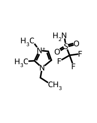 CCn1cc[n+](C)c1C.NS(=O)(=O)C(F)(F)F